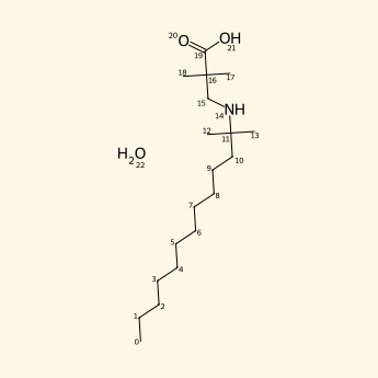 CCCCCCCCCCCC(C)(C)NCC(C)(C)C(=O)O.O